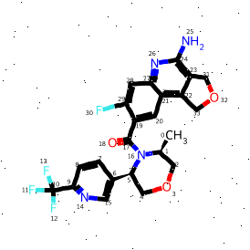 C[C@H]1COC[C@@H](c2ccc(C(F)(F)F)nc2)N1C(=O)c1cc2c3c(c(N)nc2cc1F)COC3